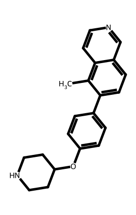 Cc1c(-c2ccc(OC3CCNCC3)cc2)ccc2cnccc12